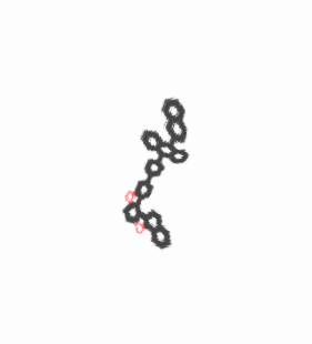 c1ccc2cc(-c3c4ccccc4c(-c4ccc(-c5ccc6c(c5)oc5ccc7oc8c9ccccc9ccc8c7c56)cc4)c4ccccc34)ccc2c1